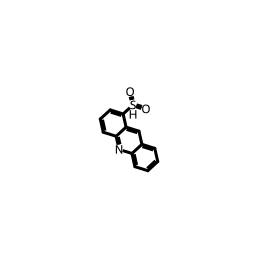 O=[SH](=O)c1cccc2nc3ccccc3cc12